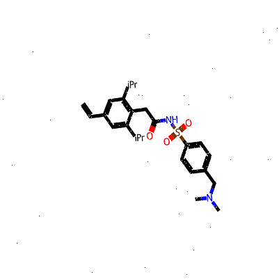 C=Cc1cc(C(C)C)c(CC(=O)NS(=O)(=O)c2ccc(CN(C)C)cc2)c(C(C)C)c1